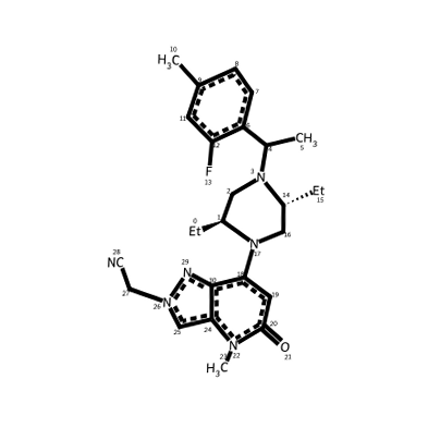 CC[C@H]1CN(C(C)c2ccc(C)cc2F)[C@H](CC)CN1c1cc(=O)n(C)c2cn(CC#N)nc12